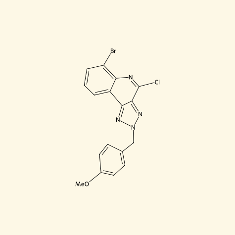 COc1ccc(Cn2nc3c(Cl)nc4c(Br)cccc4c3n2)cc1